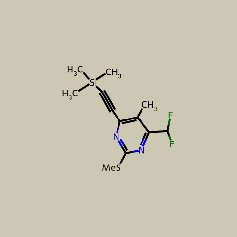 CSc1nc(C#C[Si](C)(C)C)c(C)c(C(F)F)n1